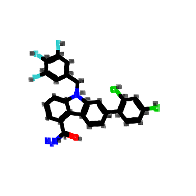 NC(=O)c1cccc2c1c1[c]cc(-c3ccc(Cl)cc3Cl)cc1n2Cc1cc(F)c(F)c(F)c1